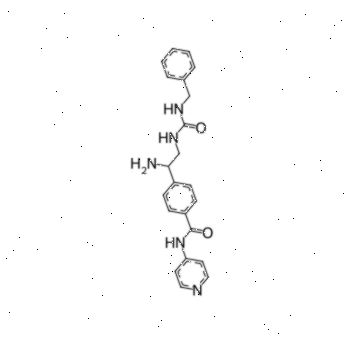 NC(CNC(=O)NCc1ccccc1)c1ccc(C(=O)Nc2ccncc2)cc1